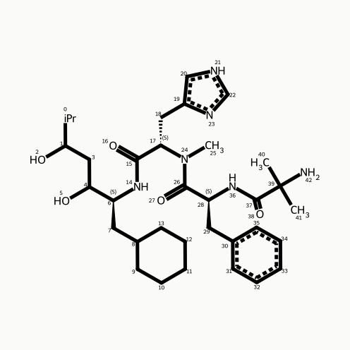 CC(C)C(O)CC(O)[C@H](CC1CCCCC1)NC(=O)[C@H](Cc1c[nH]cn1)N(C)C(=O)[C@H](Cc1ccccc1)NC(=O)C(C)(C)N